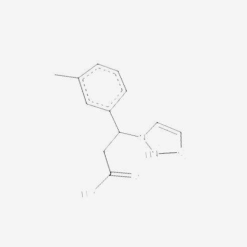 Cc1cccc(C(CC(=O)O)N2C=CON2)c1